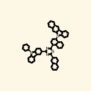 c1ccc(-n2c3ccccc3c3cc(-c4nc(-c5ccc6ccccc6c5)nc(-c5ccc(-n6c7ccccc7c7cc8ccccc8cc76)c6ccccc56)n4)ccc32)cc1